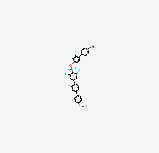 CCCCCc1ccc(-c2ccc(-c3cc(F)c(C(F)(F)Oc4ccc(-c5ccc(C#N)cc5)c(F)c4)c(F)c3)c(F)c2)cc1